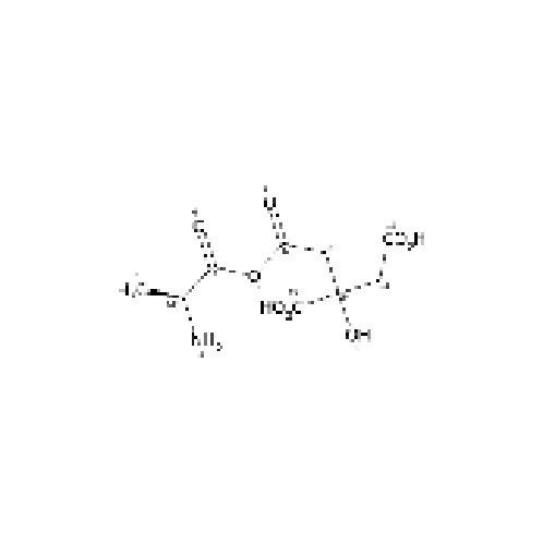 C[C@H](N)C(=O)OC(=O)CC(O)(CC(=O)O)C(=O)O